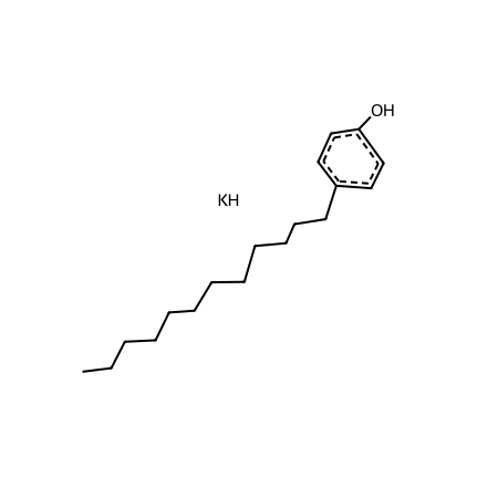 CCCCCCCCCCCCc1ccc(O)cc1.[KH]